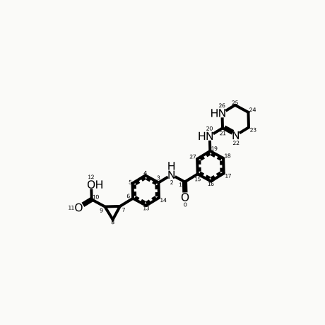 O=C(Nc1ccc(C2CC2C(=O)O)cc1)c1cccc(NC2=NCCCN2)c1